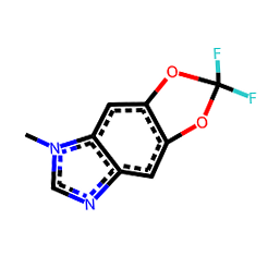 Cn1cnc2cc3c(cc21)OC(F)(F)O3